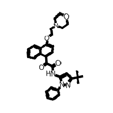 CC(C)(C)c1cc(NC(=O)C(=O)c2ccc(OCCN3CCOCC3)c3ccccc23)n(-c2ccccc2)n1